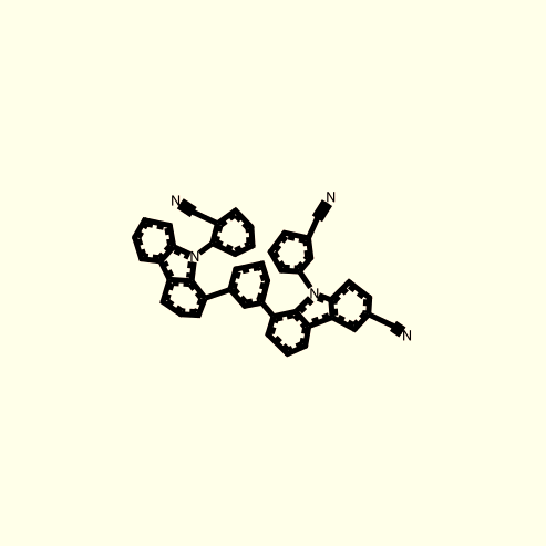 N#Cc1cccc(-n2c3ccc(C#N)cc3c3cccc(-c4cccc(-c5cccc6c7ccccc7n(-c7ccccc7C#N)c56)c4)c32)c1